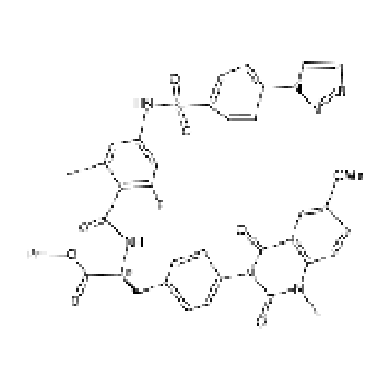 COc1ccc2c(c1)c(=O)n(-c1ccc(C[C@H](NC(=O)c3c(F)cc(NS(=O)(=O)c4ccc(-n5ccnn5)cc4)cc3F)C(=O)OC(C)C)cc1)c(=O)n2C